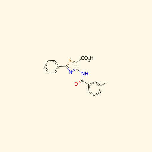 Cc1cccc(C(=O)Nc2nc(-c3ccccc3)sc2C(=O)O)c1